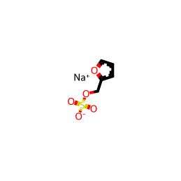 O=S(=O)([O-])OCc1ccco1.[Na+]